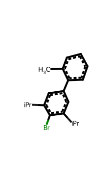 Cc1ccccc1-c1cc(C(C)C)c(Br)c(C(C)C)c1